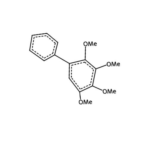 COc1cc(-c2ccccc2)c(OC)c(OC)c1OC